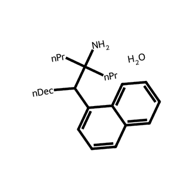 CCCCCCCCCCC(c1cccc2ccccc12)C(N)(CCC)CCC.O